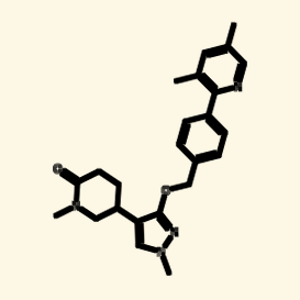 Cc1cnc(-c2ccc(COc3nn(C)cc3C3CCC(=O)N(C)C3)cc2)c(C)c1